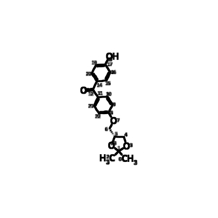 CC1(C)OC[C@@H](COc2ccc(C(=O)c3ccc(O)cc3)cc2)O1